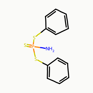 NP(=S)(Sc1ccccc1)Sc1ccccc1